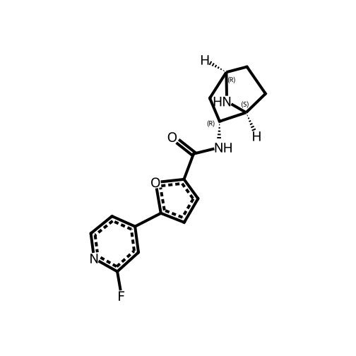 O=C(N[C@@H]1C[C@H]2CC[C@@H]1N2)c1ccc(-c2ccnc(F)c2)o1